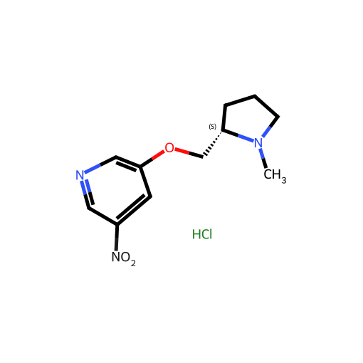 CN1CCC[C@H]1COc1cncc([N+](=O)[O-])c1.Cl